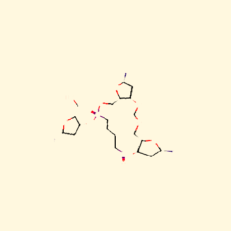 O=PCCCCP(=O)(OC[C@H]1O[C@@H](I)C[C@H]1OCOC[C@H]1O[C@@H](I)C[C@H]1O)O[C@@H]1C[C@H](I)O[C@@H]1CO